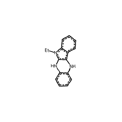 CCn1c2c(c3ccccc31)Nc1ccccc1N2